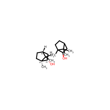 CC1(C)C2CCC1(C)C(O)C2.CC1(C)[C@@H]2CC[C@]1(C)[C@@H](O)C2